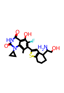 Cc1c(-c2cc3c(s2)CCCC3C(N)CO)c(F)c(O)c2c(=O)[nH]c(=O)n(C3CC3)c12